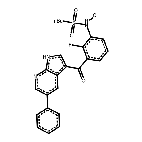 CCCCS(=O)(=O)[NH+]([O-])c1cccc(C(=O)c2c[nH]c3ncc(-c4ccccc4)cc23)c1F